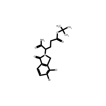 CC(C)(C)OC(=O)CCC(C(N)=O)N1Cc2c(ccc(Br)c2Cl)C1=O